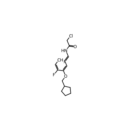 C\C=C(F)/C(=C\C=C\NC(=O)CCl)OCC1CCCC1